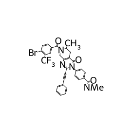 CNC(=O)c1ccc(-n2c(C#Cc3ccccc3)nc3c(c2=O)CC(C)N(C(=O)c2ccc(Br)c(C(F)(F)F)c2)C3)cc1